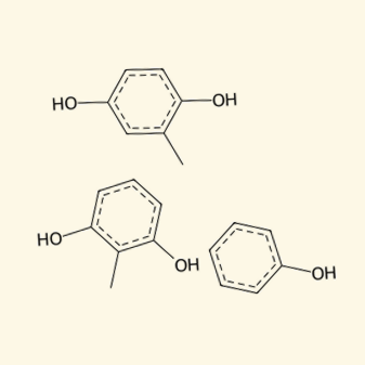 Cc1c(O)cccc1O.Cc1cc(O)ccc1O.Oc1ccccc1